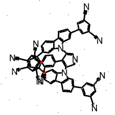 N#Cc1cc(C#N)cc(-c2ccc3c4ccc(-c5cc(C#N)cc(C#N)c5)cc4n(-c4cncc(-n5c6cc(-c7cc(C#N)cc(C#N)c7)ccc6c6ccc(-c7cc(C#N)cc(C#N)c7)cc65)c4-c4cccc(C#N)c4)c3c2)c1